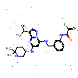 C=C(F)C(=O)Nc1cccc(CNc2cc(N[C@H]3CCC(C)(C)NC3)nc3c(C(C)C)cnn23)c1